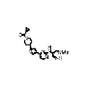 CN/C=C(\C=N)Nc1nccc(-c2cnn(C3CCN(C(=O)C4CC4)CC3)c2)n1